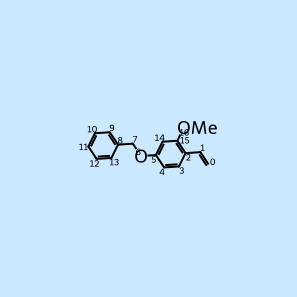 C=Cc1ccc(OCc2ccccc2)cc1OC